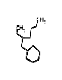 CCCCC(CC)C[C]1CCCCC1